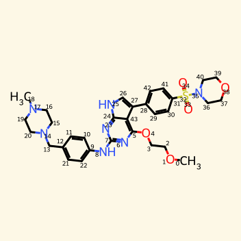 COCCOc1nc(Nc2ccc(CN3CCN(C)CC3)cc2)nc2[nH]cc(-c3ccc(S(=O)(=O)N4CCOCC4)cc3)c12